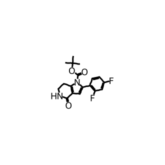 CC(C)(C)OC(=O)n1c(-c2ccc(F)cc2F)cc2c1CCNC2=O